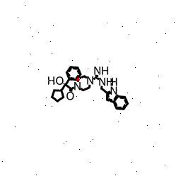 N=C(NCc1cc2ccccc2[nH]1)N1CCN(C(=O)[C@](O)(c2ccccc2)C2CCCC2)CC1